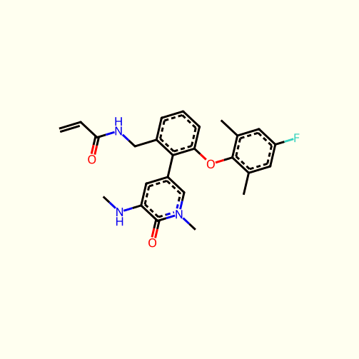 C=CC(=O)NCc1cccc(Oc2c(C)cc(F)cc2C)c1-c1cc(NC)c(=O)n(C)c1